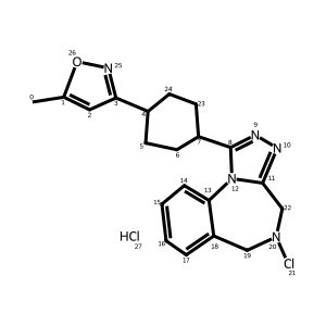 Cc1cc(C2CCC(c3nnc4n3-c3ccccc3CN(Cl)C4)CC2)no1.Cl